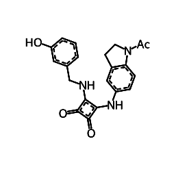 CC(=O)N1CCc2cc(Nc3c(NCc4cccc(O)c4)c(=O)c3=O)ccc21